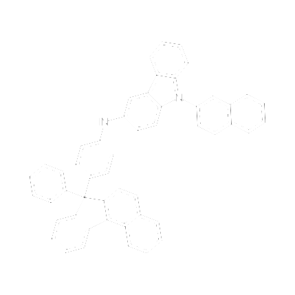 c1ccc(C2(c3ccc(Nc4ccc5c(c4)c4ccccc4n5-c4ccc5ccccc5c4)cc3)c3ccccc3-c3c2ccc2ccccc32)cc1